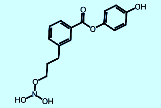 O=C(Oc1ccc(O)cc1)c1cccc(CCCON(O)O)c1